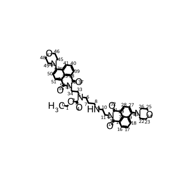 CCOC(=O)N(CCCNCCN1C(=O)c2cccc3c(N4CCOCC4)ccc(c23)C1=O)CCN1C(=O)c2cccc3c(N4CCOCC4)ccc(c23)C1=O